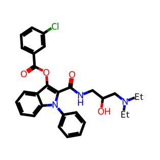 CCN(CC)CC(O)CNC(=O)c1c(OC(=O)c2cccc(Cl)c2)c2ccccc2n1-c1ccccc1